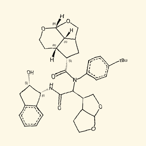 CC(C)(C)c1ccc(N(C(=O)[C@H]2CC3CO[C@H]4OCC[C@@H]2[C@@H]34)C(C(=O)N[C@@H]2c3ccccc3C[C@@H]2O)C2COC3OCCC32)cc1